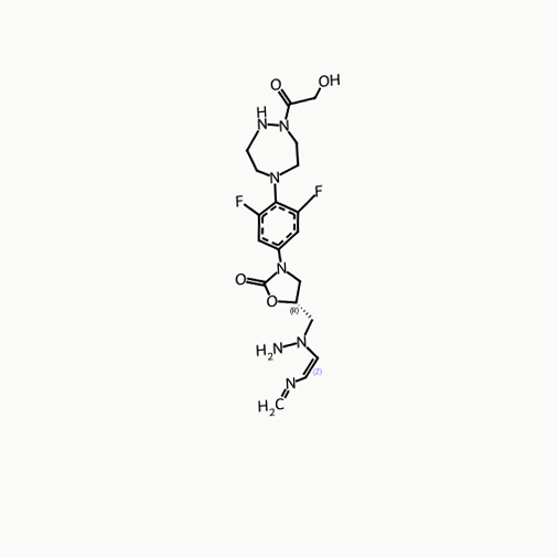 C=N/C=C\N(N)C[C@H]1CN(c2cc(F)c(N3CCNN(C(=O)CO)CC3)c(F)c2)C(=O)O1